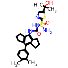 Cc1ccc(-c2c3c(c(NC(=O)N[SH](N)(=O)c4ncc(C(C)(C)O)s4)c4c2CCC4)CCC3)cc1C